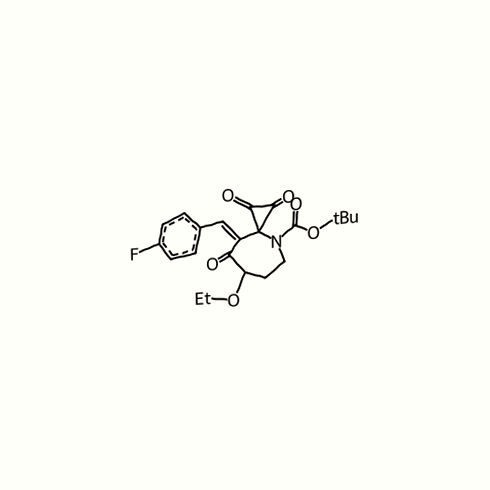 CCOC1CCN(C(=O)OC(C)(C)C)C2(C(=O)C2=O)C(=Cc2ccc(F)cc2)C1=O